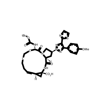 COc1ccc(-c2nn([C@H]3C[C@H]4C(=O)N[C@]5(C(=O)O)C[C@H]5/C=C\CCCCC[C@H](NC(=O)OC(C)(C)C)C(=O)N4C3)nc2-c2nccs2)cc1